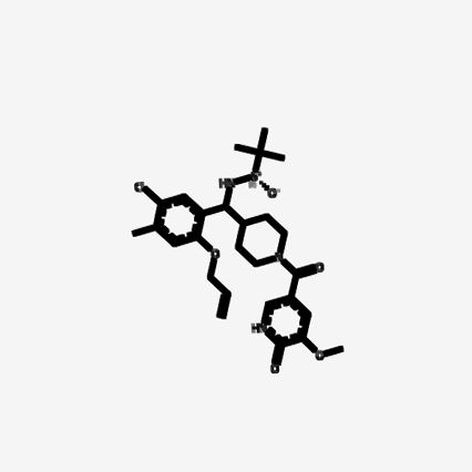 C=CCOc1cc(C)c(Cl)cc1C(N[S@@+]([O-])C(C)(C)C)C1CCN(C(=O)c2c[nH]c(=O)c(OC)c2)CC1